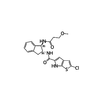 COCCC(=O)N[C@@H]1c2ccccc2C[C@H]1NC(=O)c1cc2cc(Cl)sc2[nH]1